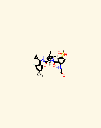 C[C@@]12C3[C@@H]1[C@@H]2N(C(=O)c1cc(S(C)(=O)=O)ccc1NCCO)[C@H]3C(=O)N[C@@H](c1ccc(C(F)(F)F)cc1F)C1CC1